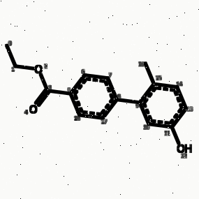 CCOC(=O)c1ccc(-c2cc(O)ccc2C)cc1